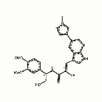 COc1ccc([C@@H](CO)NC(=O)/C(C#N)=C/c2c[nH]c3ncc(-c4cnn(C)c4)cc23)cc1OC